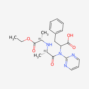 CCOC(=O)[C@H](C)N[C@@H](C)C(=O)N(c1ncccn1)C(Cc1ccccc1)C(=O)O